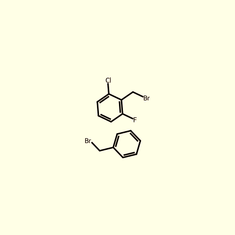 BrCc1ccccc1.Fc1cccc(Cl)c1CBr